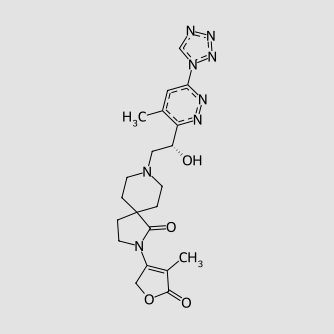 CC1=C(N2CCC3(CCN(C[C@@H](O)c4nnc(-n5cnnn5)cc4C)CC3)C2=O)COC1=O